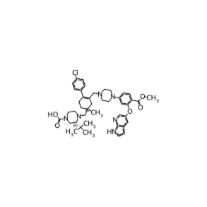 COC(=O)c1ccc(N2CCN(CC3=C(c4ccc(Cl)cc4)CC[C@@](C)(CN4CCN(C(=O)O)C[C@H]4C(C)(C)C)C3)CC2)cc1Oc1cnc2[nH]ccc2c1